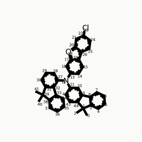 CC1(C)c2ccccc2-c2cc(N(c3ccc4c(c3)oc3cc(Cl)ccc34)c3cccc4c3-c3ccccc3C4(C)C)ccc21